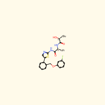 CCC[C@H](NC(=O)[C@@H](O)C(C)(C)C)C(=O)Nc1ncc(-c2ccccc2COc2cccc(F)c2)s1